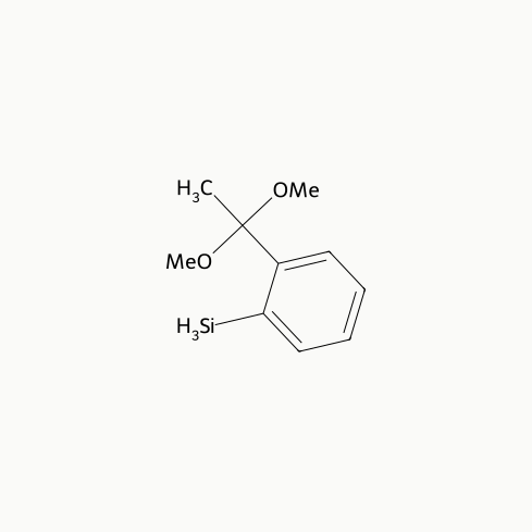 COC(C)(OC)c1ccccc1[SiH3]